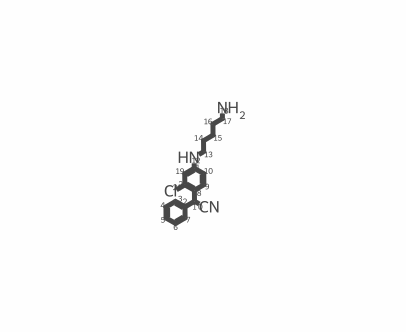 N#CC(c1ccccc1)c1ccc(NCCCCCN)cc1Cl